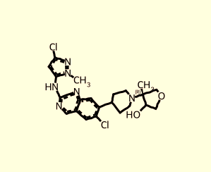 Cn1nc(Cl)cc1Nc1ncc2cc(Cl)c(C3CCN([C@]4(C)COCC4O)CC3)cc2n1